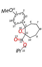 COc1ccc(C23CCCCCC2(C(=O)OC(C)C)O3)cc1